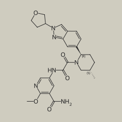 COc1ncc(NC(=O)C(=O)N2C[C@@H](C)CC[C@@H]2c2ccc3cn(C4CCOC4)nc3c2)cc1C(N)=O